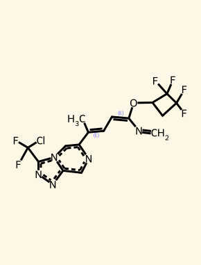 C=N/C(=C\C=C(/C)c1cn2c(C(F)(F)Cl)nnc2cn1)OC1CC(F)(F)C1(F)F